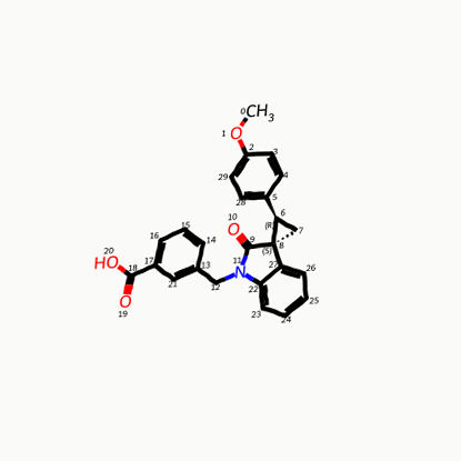 COc1ccc([C@H]2C[C@]23C(=O)N(Cc2cccc(C(=O)O)c2)c2ccccc23)cc1